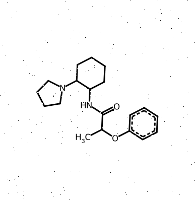 CC(Oc1ccccc1)C(=O)NC1CCCCC1N1CCCC1